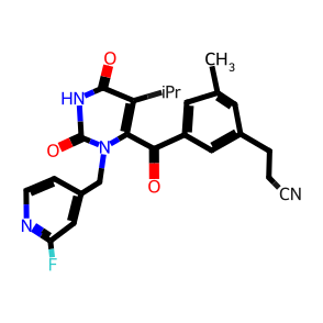 Cc1cc(CCC#N)cc(C(=O)c2c(C(C)C)c(=O)[nH]c(=O)n2Cc2ccnc(F)c2)c1